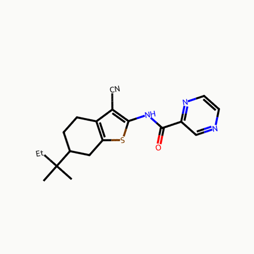 CCC(C)(C)C1CCc2c(sc(NC(=O)c3cnccn3)c2C#N)C1